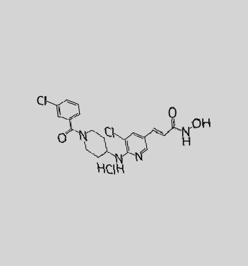 Cl.O=C(C=Cc1cnc(NC2CCN(C(=O)c3cccc(Cl)c3)CC2)c(Cl)c1)NO